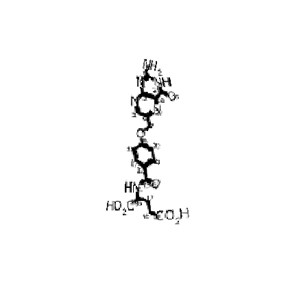 Nc1nc2ncc(COc3ccc(C(=O)NC(CCC(=O)O)C(=O)O)cc3)nc2c(=O)[nH]1